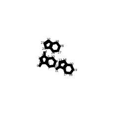 CC1=[C]C(C)C2=C1CCCC2.CC1[C]=CC2=C1CCCC2.[C]1=CC2=C(C1)CCCC2